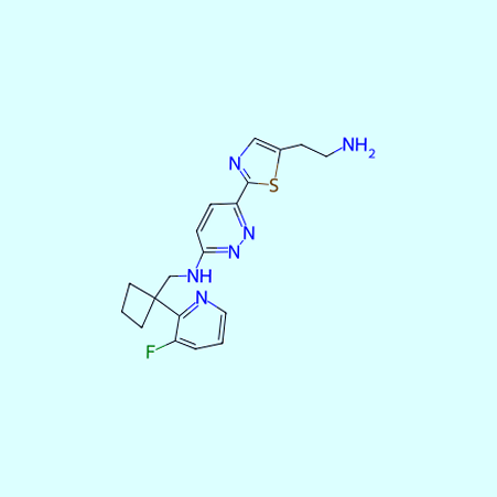 NCCc1cnc(-c2ccc(NCC3(c4ncccc4F)CCC3)nn2)s1